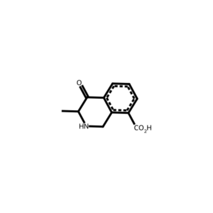 CC1NCc2c(C(=O)O)cccc2C1=O